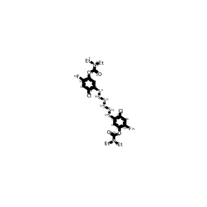 CCN(CC)C(=O)Oc1cc(SSSSSSc2cc(OC(=O)N(CC)CC)c(F)cc2Cl)c(Cl)cc1F